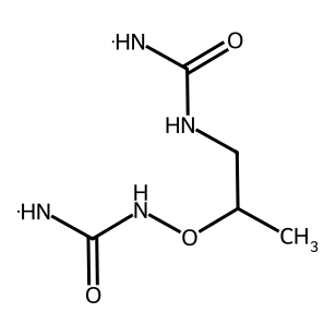 CC(CNC([NH])=O)ONC([NH])=O